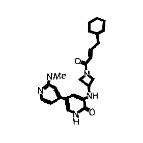 CNc1cc(-c2c[nH]c(=O)c(NC3CN(C(=O)C=CCC4CCCCC4)C3)c2)ccn1